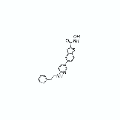 O=C(NO)c1cc2cc(-c3ccc(NCCc4ccccc4)nc3)ccc2s1